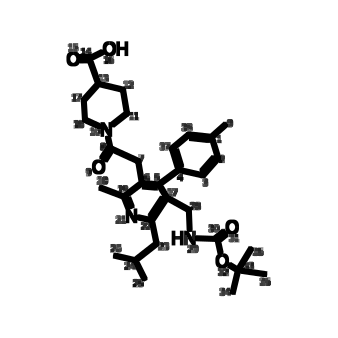 Cc1ccc(-c2c(CC(=O)N3CCC(C(=O)O)CC3)c(C)nc(CC(C)C)c2CNC(=O)OC(C)(C)C)cc1